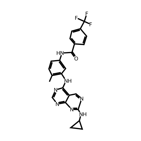 Cc1ccc(NC(=O)c2ccc(C(F)(F)F)cc2)cc1Nc1ncnc2nc(NC3CC3)ncc12